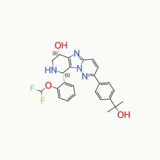 CC(C)(O)c1ccc(-c2ccc3nc4c(n3n2)[C@H](c2ccccc2OC(F)F)NC[C@@H]4O)cc1